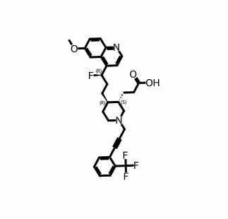 COc1ccc2nccc([C@H](F)CC[C@@H]3CCN(CC#Cc4ccccc4C(F)(F)F)C[C@H]3CCC(=O)O)c2c1